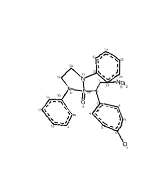 O=[N+]([O-])CC(c1ccc(Cl)cc1)P1(=O)N(c2ccccc2)CCN1c1ccccc1